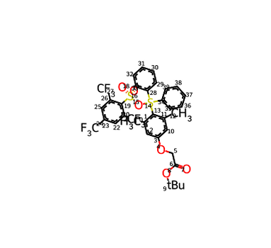 Cc1cc(OCC(=O)OC(C)(C)C)cc(C)c1S(OS(=O)(=O)c1c(C(F)(F)F)cc(C(F)(F)F)cc1C(F)(F)F)(c1ccccc1)c1ccccc1